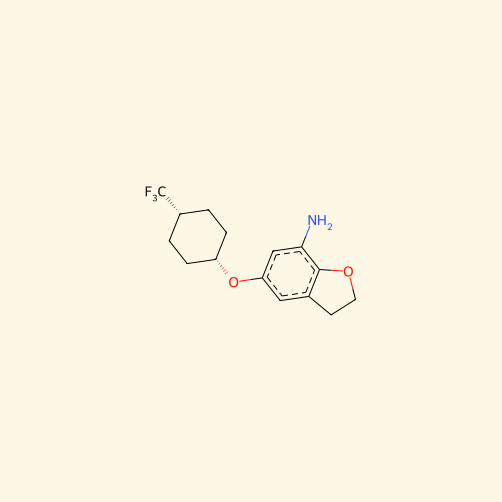 Nc1cc(O[C@H]2CC[C@@H](C(F)(F)F)CC2)cc2c1OCC2